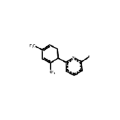 Fc1cccc(C2CC=C(C(F)(F)F)C=C2C(F)(F)F)n1